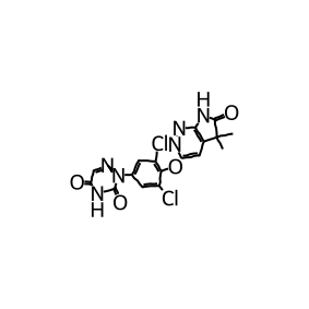 CC1(C)C(=O)Nc2nnc(Oc3c(Cl)cc(-n4ncc(=O)[nH]c4=O)cc3Cl)cc21